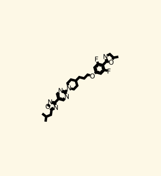 CC(C)Cc1nc(-c2cnc(N3CCC(CCCOc4cc(F)c(C5=NCC(C)O5)c(F)c4)CC3)nc2)no1